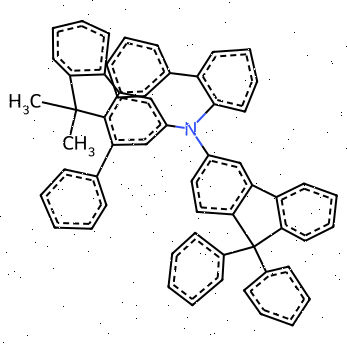 CC1(C)c2ccccc2-c2cc(N(c3ccc4c(c3)-c3ccccc3C4(c3ccccc3)c3ccccc3)c3ccccc3-c3ccccc3)cc(-c3ccccc3)c21